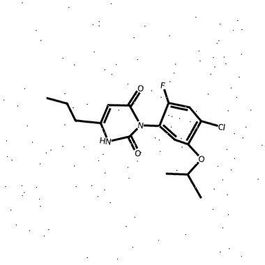 CCCc1cc(=O)n(-c2cc(OC(C)C)c(Cl)cc2F)c(=O)[nH]1